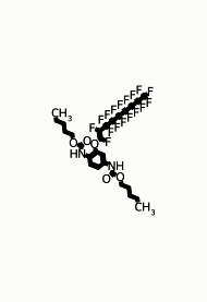 CCCCCOC(=O)Nc1ccc(NC(=O)OCCCCC)c(OC(F)=C(F)C(F)(F)C(F)(F)C(F)(F)C(F)(F)C(F)(F)C(F)(F)C(F)(F)F)c1